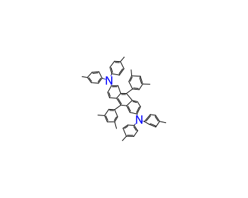 Cc1ccc(N(c2ccc(C)cc2)c2ccc3c(-c4cc(C)cc(C)c4)c4cc(N(c5ccc(C)cc5)c5ccc(C)cc5)ccc4c(-c4cc(C)cc(C)c4)c3c2)cc1